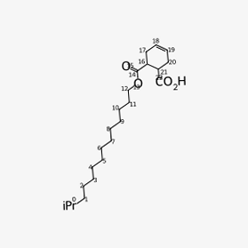 CC(C)CCCCCCCCCCCCOC(=O)C1CC=CCC1C(=O)O